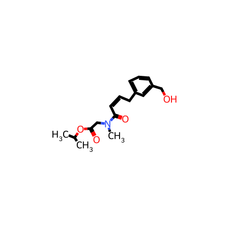 CC(C)OC(=O)CN(C)C(=O)/C=C\Cc1cccc(CO)c1